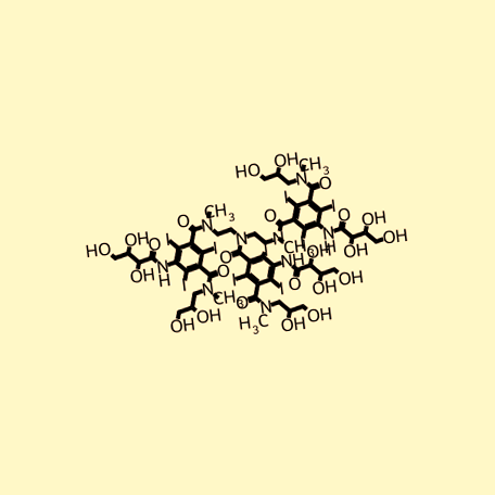 CN(CCN(CCN(C)C(=O)c1c(I)c(NC(=O)C(O)C(O)CO)c(I)c(C(=O)N(C)CC(O)CO)c1I)C(=O)c1c(I)c(NC(=O)C(O)C(O)CO)c(I)c(C(=O)N(C)CC(O)CO)c1I)C(=O)c1c(I)c(NC(=O)C(O)C(O)CO)c(I)c(C(=O)N(C)CC(O)CO)c1I